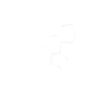 Cn1nc(-c2ccc(Cl)cc2Br)c(C=O)c1Br